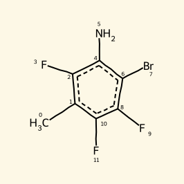 Cc1c(F)c(N)c(Br)c(F)c1F